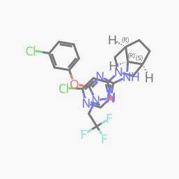 FC(F)(F)Cn1nc(N[C@H]2[C@@H]3CC[C@H]2CN(c2cc(Cl)ncn2)C3)nc1Oc1cccc(Cl)c1